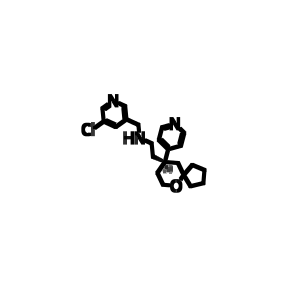 Clc1cncc(CNCC[C@]2(c3ccncc3)CCOC3(CCCC3)C2)c1